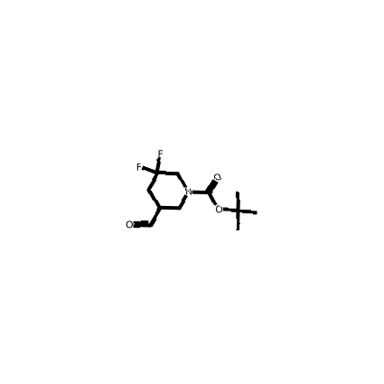 CC(C)(C)OC(=O)N1CC(C=O)CC(F)(F)C1